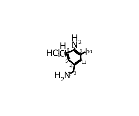 Cl.Cl.NCc1ccc(N)c(I)c1